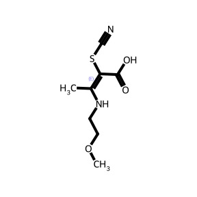 COCCN/C(C)=C(/SC#N)C(=O)O